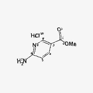 COC(=O)c1ccc(N)nc1.Cl